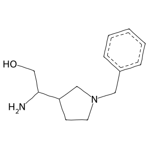 NC(CO)C1CCN(Cc2ccccc2)C1